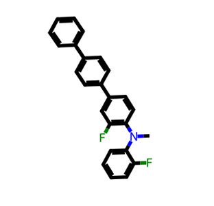 CN(c1ccccc1F)c1ccc(-c2ccc(-c3ccccc3)cc2)cc1F